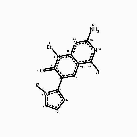 CCn1c(=O)c(-c2cccn2C)cc2c(C)nc(N)nc21